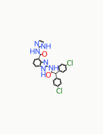 O=C(Nc1ncc[nH]1)c1cccc2[nH]c(NC(=O)C(c3ccc(Cl)cc3)c3ccc(Cl)cc3)nc12